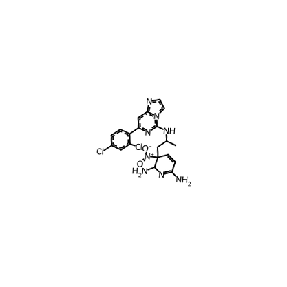 CC(CC1([N+](=O)[O-])C=CC(N)=NC1N)Nc1nc(-c2ccc(Cl)cc2Cl)cc2nccn12